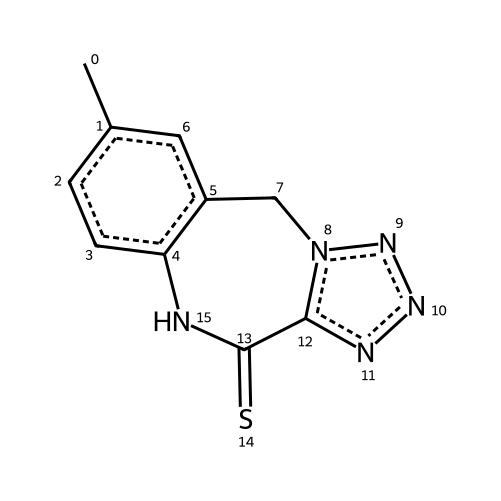 Cc1ccc2c(c1)Cn1nnnc1C(=S)N2